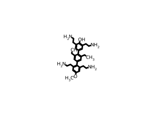 CCc1cc(-c2c(CCN)cc(OC)cc2CCN)cc(CC)c1-c1cc(CCN)c(O)c(CCN)c1